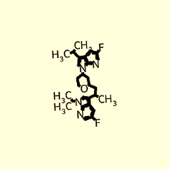 CC(C)c1cn(C2CCOC(CC(C)c3cn(C(C)C)c4ncc(F)cc34)C2)c2ncc(F)cc12